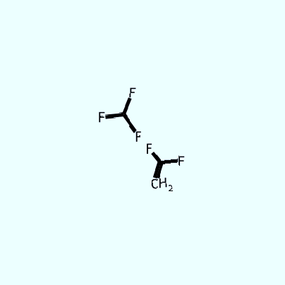 C=C(F)F.FC(F)F